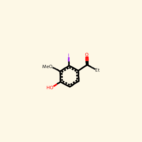 CCC(=O)c1ccc(O)c(OC)c1I